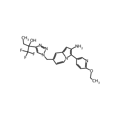 CCOc1ccc(-c2c(N)cc3cc(Cn4cc(C(O)(CC)C(F)(F)F)nn4)ccn23)cn1